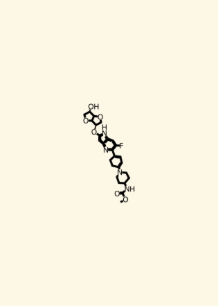 COC(=O)NC1CCN(C2=CC=C(c3nc4cc(O[C@@H]5COC6C5OC[C@H]6O)[nH]c4cc3F)CC2)CC1